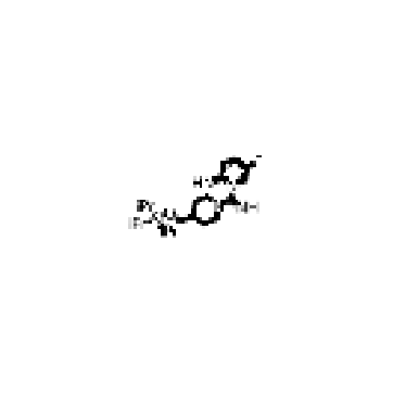 CC(C)[Si](OCC1CCN(C(=N)n2cc(F)ccc2=N)CC1)(C(C)C)C(C)C